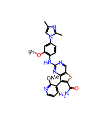 COc1ncccc1-c1c(C(N)=O)sc2cnc(Nc3ccc(-n4cc(C)nc4C)cc3OC(C)C)nc12